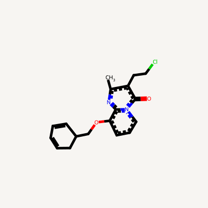 Cc1nc2c(OCC3C=CC=CC3)cccn2c(=O)c1CCCl